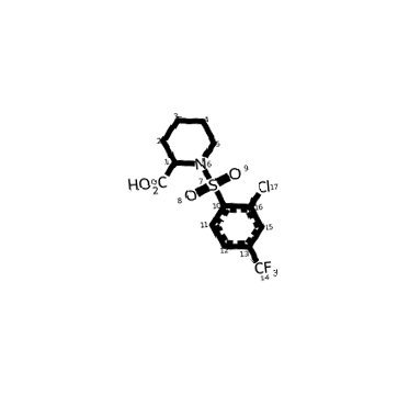 O=C(O)C1CCCCN1S(=O)(=O)c1ccc(C(F)(F)F)cc1Cl